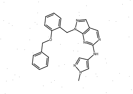 Cn1cc(Nc2ncc3cnn(Cc4ccccc4OCc4ccccc4)c3n2)cn1